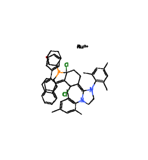 Cc1cc(C)c(N2CCN(c3c(C)cc(C)cc3C)C2=C2CCC(Cl)(P(C3CCCCC3)C3CCCCC3)C(=C3C(c4ccccc4)=Cc4ccccc43)C2Cl)c(C)c1.[Ru+2]